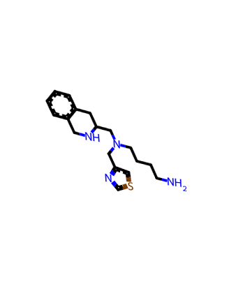 NCCCCN(Cc1cscn1)CC1Cc2ccccc2CN1